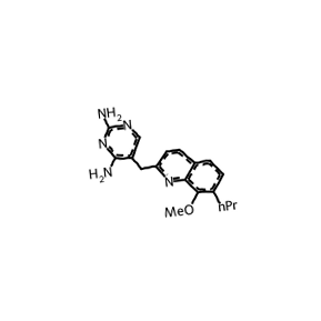 CCCc1ccc2ccc(Cc3cnc(N)nc3N)nc2c1OC